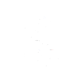 CC(C)[C@@H]1Cc2c(oc3c(-c4cnsc4)cccc23)-c2cc(=O)c(C(=O)O)cn21